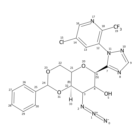 [N-]=[N+]=NC1C(O)[C@H](c2ncnn2-c2cc(Cl)cnc2C(F)(F)F)OC2COC(c3ccccc3)O[C@@H]21